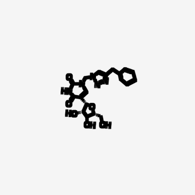 O=c1[nH]c(=O)n(Cn2cc(Cc3ccccc3)nn2)cc1[C@@H]1O[C@H](CO)C(O)[C@@H]1O